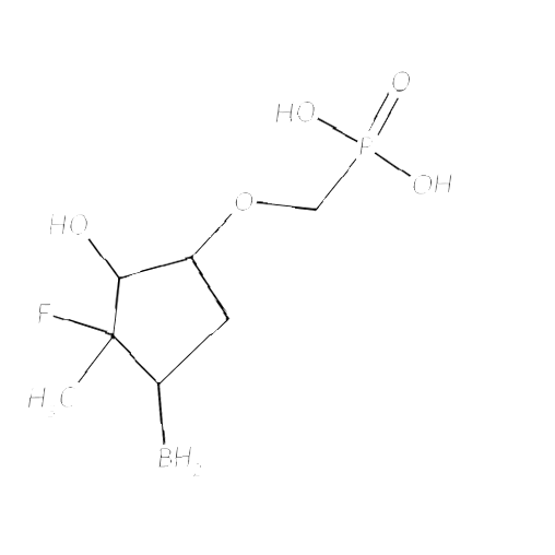 BC1CC(OCP(=O)(O)O)C(O)C1(C)F